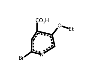 CCOc1cnc(Br)cc1C(=O)O